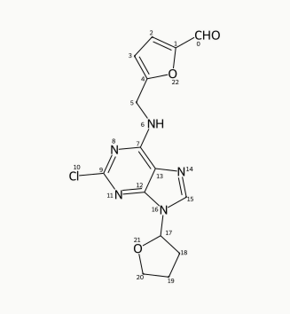 O=Cc1ccc(CNc2nc(Cl)nc3c2ncn3C2CCCO2)o1